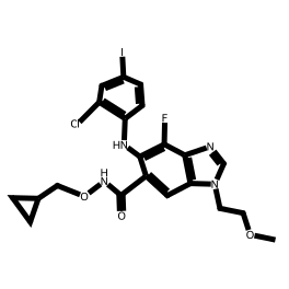 COCCn1cnc2c(F)c(Nc3ccc(I)cc3Cl)c(C(=O)NOCC3CC3)cc21